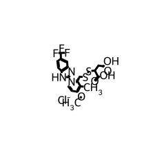 COc1cc[n+](-c2nc3cc(C(F)(F)F)ccc3[nH]2)c(CSSC(CC(=O)O)C(=O)O)c1C.[Cl-]